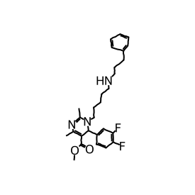 COC(=O)C1=C(C)N=C(C)N(CCCCCNCCCc2ccccc2)C1c1ccc(F)c(F)c1